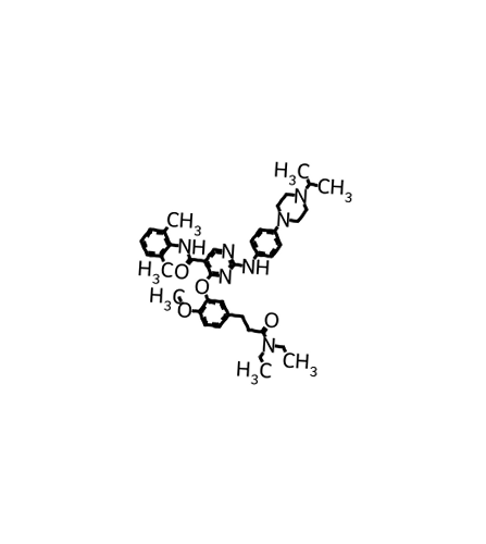 CCN(CC)C(=O)CCc1ccc(OC)c(Oc2nc(Nc3ccc(N4CCN(C(C)C)CC4)cc3)ncc2C(=O)Nc2c(C)cccc2C)c1